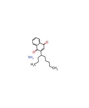 CCCCCC(CCC)C1=CC(=O)c2ccccc2C1=O.N